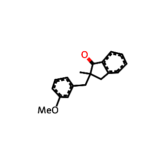 COc1cccc(CC2(C)Cc3ccccc3C2=O)c1